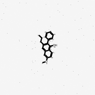 CCCc1cc2cc(OC)ccc2c(O)c1-c1ccccc1